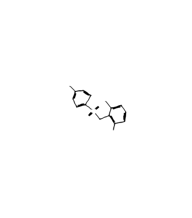 O=S(=O)(Cc1c(F)cccc1Cl)c1ccc(Cl)cc1